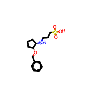 O=S(=O)(O)CCCN[C@@H]1CCC[C@H]1OCc1ccccc1